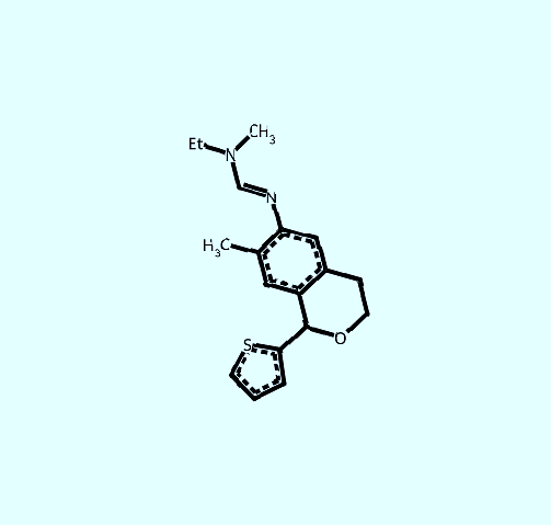 CCN(C)/C=N/c1cc2c(cc1C)C(c1cccs1)OCC2